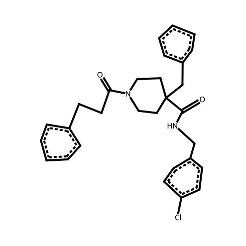 O=C(CCc1ccccc1)N1CCC(Cc2ccccc2)(C(=O)NCc2ccc(Cl)cc2)CC1